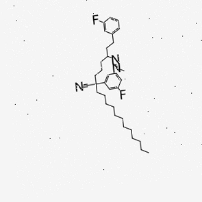 CCCCCCCCCCCCC(C#N)(CCCC(CCc1cccc(F)c1)N=NC)c1cccc(F)c1